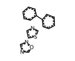 c1ccc(-c2ccccc2)cc1.c1cscn1.c1ncon1